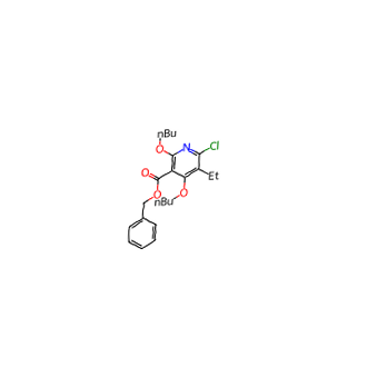 CCCCOc1nc(Cl)c(CC)c(OCCCC)c1C(=O)OCc1ccccc1